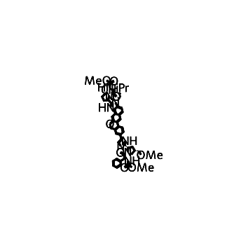 COC[C@H]1C[C@@H](c2ncc(-c3ccc4c(c3)COc3cc5c(ccc6nc(C7CC[C@H](C)N7C(=O)[C@@H](NC(=O)OC)C(C)C)[nH]c65)cc3-4)[nH]2)N(C(=O)[C@@H](NC(=O)OC)c2ccccc2)C1